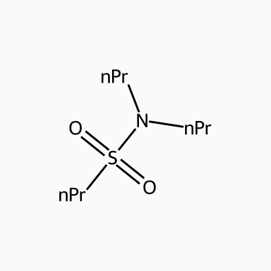 CCCN(CCC)S(=O)(=O)CCC